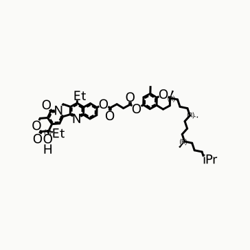 CCc1c2c(nc3ccc(OC(=O)CCC(=O)Oc4cc(C)c5c(c4)CC[C@@](C)(CCC[C@H](C)CCC[C@H](C)CCCC(C)C)O5)cc13)-c1cc3c(c(=O)n1C2)COC(=O)[C@]3(O)CC